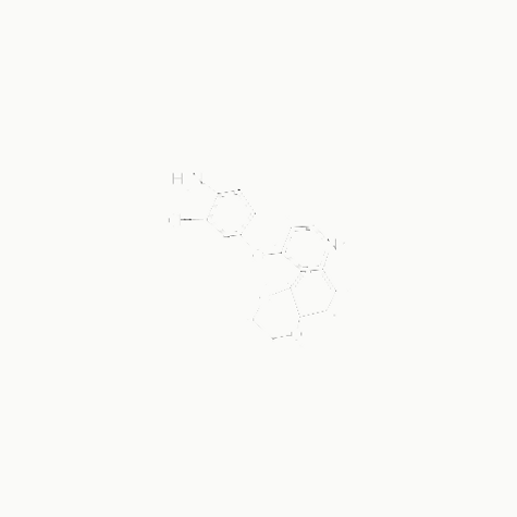 Nc1ccc(Oc2ccnc3c2=C2OCCOC2CC=3)cc1Cl